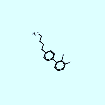 CCCCCc1ccc(-c2cccc(F)c2F)cc1